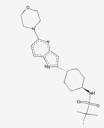 CC(C)(C)S(=O)(=O)N[C@H]1CC[C@H](c2cc3nc(N4CCOCC4)ccc3[nH]2)CC1